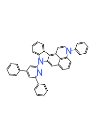 C1=CN(c2ccccc2)c2cccc3cc4c(c1c23)c1ccccc1n4-c1cc(-c2ccccc2)cc(-c2ccccc2)n1